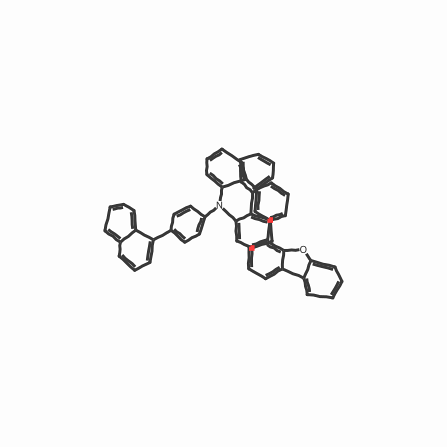 c1ccc(-c2ccccc2N(c2ccc(-c3cccc4ccccc34)cc2)c2ccccc2-c2cccc(-c3cccc4c3oc3ccccc34)c2)cc1